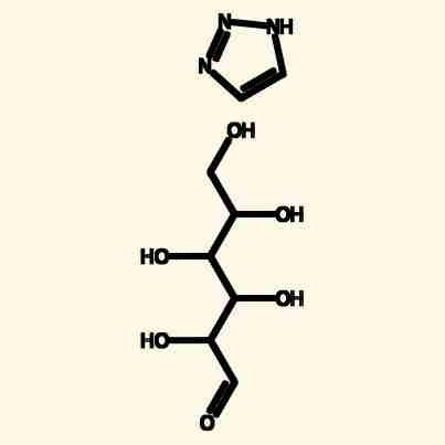 O=CC(O)C(O)C(O)C(O)CO.c1c[nH]nn1